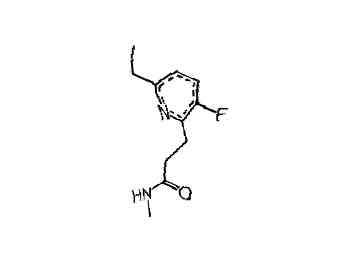 CNC(=O)CCc1nc(CI)ccc1F